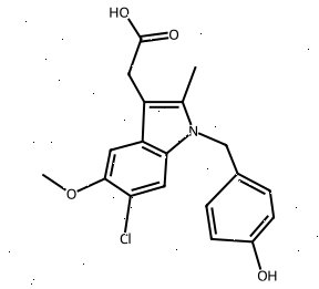 COc1cc2c(CC(=O)O)c(C)n(Cc3ccc(O)cc3)c2cc1Cl